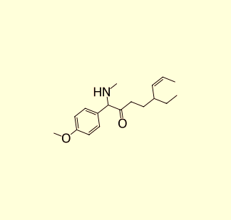 C/C=C\C(CC)CCC(=O)C(NC)c1ccc(OC)cc1